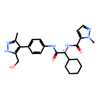 Cc1n[nH]c(CO)c1-c1ccc(NC(=O)[C@@H](NC(=O)c2ccnn2C)C2CCCCC2)cc1